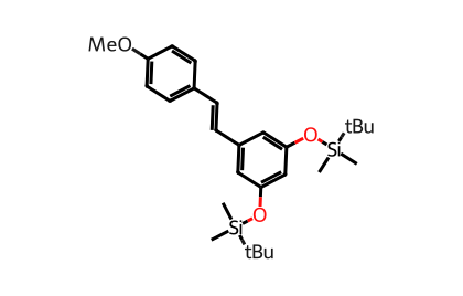 COc1ccc(C=Cc2cc(O[Si](C)(C)C(C)(C)C)cc(O[Si](C)(C)C(C)(C)C)c2)cc1